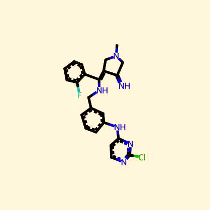 CN1CC(=N)/C(=C(\NCc2cccc(Nc3ccnc(Cl)n3)c2)c2ccccc2F)C1